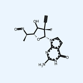 C#C[C@@]1(F)C(O)[C@@H]([C@@H](C)N=O)O[C@H]1n1ccc2c(=O)[nH]c(N)nc21